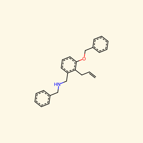 C=CCc1c(CNCc2ccccc2)cccc1OCc1ccccc1